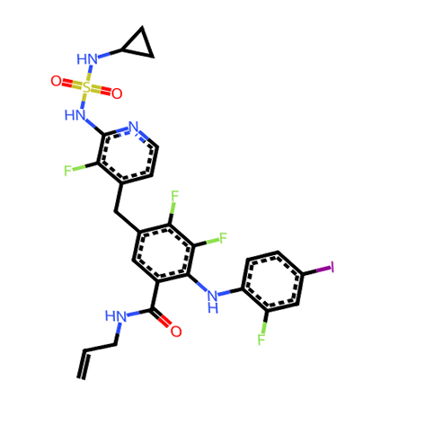 C=CCNC(=O)c1cc(Cc2ccnc(NS(=O)(=O)NC3CC3)c2F)c(F)c(F)c1Nc1ccc(I)cc1F